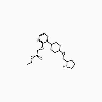 CCOC(=O)COc1ncccc1C1CCC(OCC2CCCN2)CC1